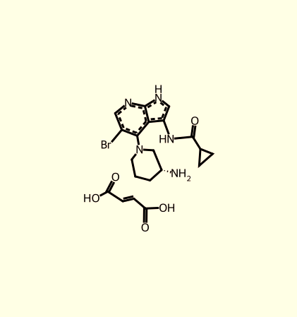 N[C@@H]1CCCN(c2c(Br)cnc3[nH]cc(NC(=O)C4CC4)c23)C1.O=C(O)C=CC(=O)O